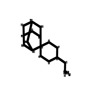 NCC1CCC2(CC1)C1CC3CC(C1)CC2C3